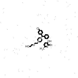 CCc1nc(C)ccc1O.OCCOCCN1CCN(C(c2ccccc2)c2ccc(Cl)cc2)CC1